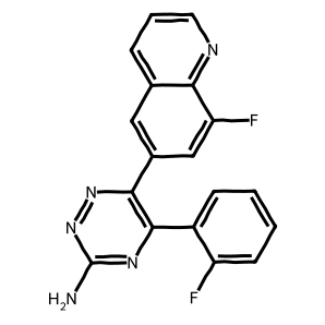 Nc1nnc(-c2cc(F)c3ncccc3c2)c(-c2ccccc2F)n1